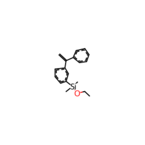 C=C(c1ccccc1)c1cccc([Si](C)(C)OCC)c1